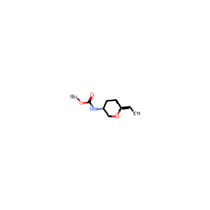 CC(C)(C)OC(=O)N[C@H]1CCC(=CC#N)OC1